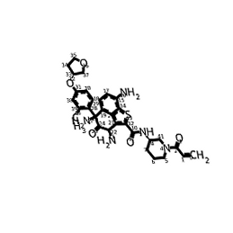 C=CC(=O)N1CCC[C@@H](NC(=O)c2sc3c(N)ccc4c3c2C(N)C(=O)C4(N)c2ccc(O[C@@H]3CCOC3)cc2C)C1